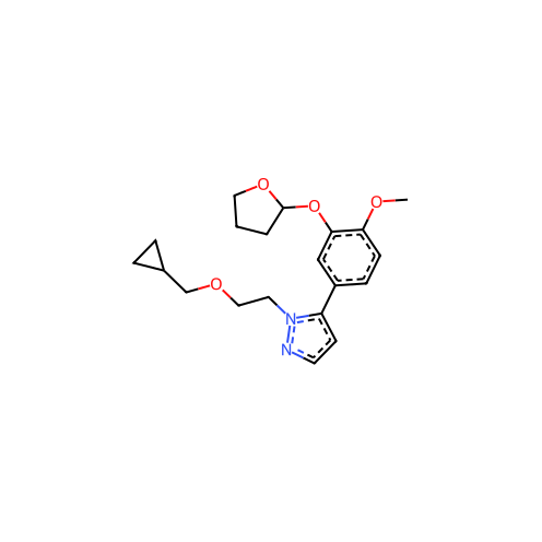 COc1ccc(-c2ccnn2CCOCC2CC2)cc1OC1CCCO1